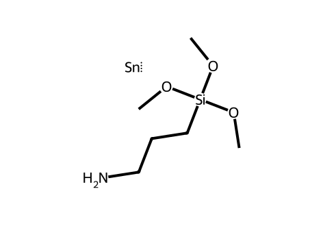 CO[Si](CCCN)(OC)OC.[Sn]